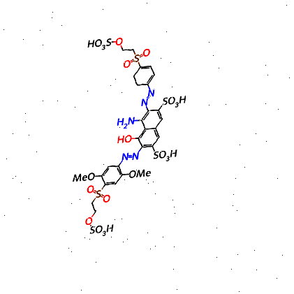 COc1cc(S(=O)(=O)CCOS(=O)(=O)O)c(OC)cc1/N=N/c1c(S(=O)(=O)O)cc2cc(S(=O)(=O)O)c(/N=N/C3=CC=C(S(=O)(=O)CCOS(=O)(=O)O)CC3)c(N)c2c1O